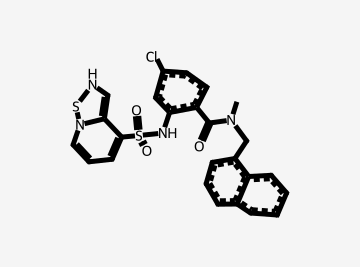 CN(Cc1cccc2ccccc12)C(=O)c1ccc(Cl)cc1NS(=O)(=O)C1=CC=CN2SNC=C12